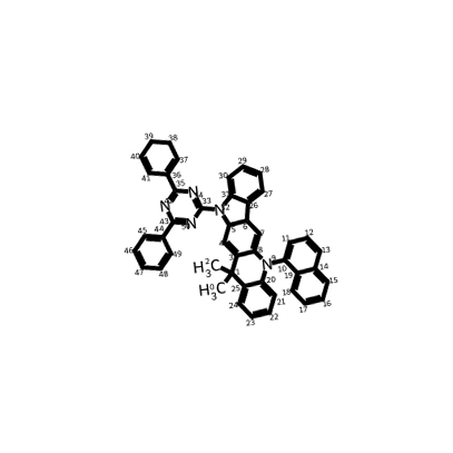 CC1(C)C2=CC3C(C=C2N(c2cccc4ccccc24)c2ccccc21)c1ccccc1N3c1nc(C2=CCCC=C2)nc(-c2ccccc2)n1